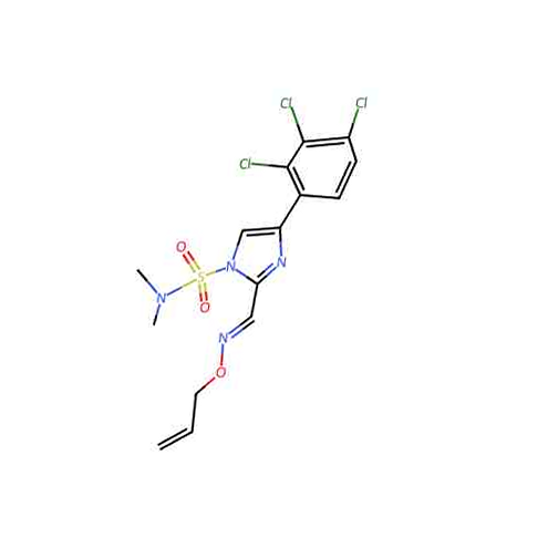 C=CCON=Cc1nc(-c2ccc(Cl)c(Cl)c2Cl)cn1S(=O)(=O)N(C)C